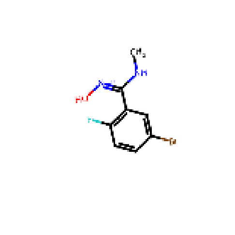 CN/C(=N/O)c1cc(Br)ccc1F